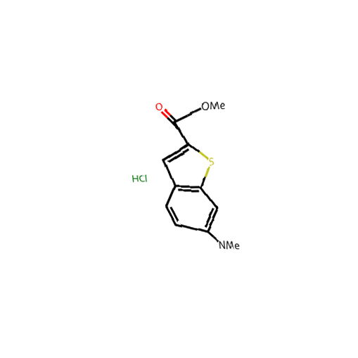 CNc1ccc2cc(C(=O)OC)sc2c1.Cl